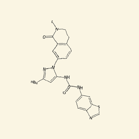 CCCCc1cc(NC(=O)Nc2ccc3ncsc3c2)n(-c2ccc3c(c2)C(=O)N(I)CC3)n1